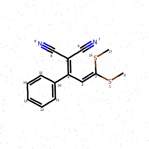 CSC(=CC(=C(C#N)C#N)c1ccccc1)SC